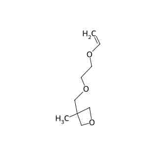 C=COCCOCC1(C)COC1